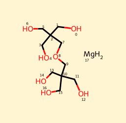 OCC(CO)(CO)COCC(CO)(CO)CO.[MgH2]